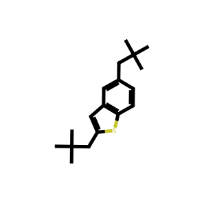 CC(C)(C)Cc1ccc2sc(CC(C)(C)C)cc2c1